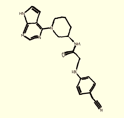 N#Cc1ccc(NCC(=O)N[C@@H]2CCCN(c3ncnc4[nH]ccc34)C2)cc1